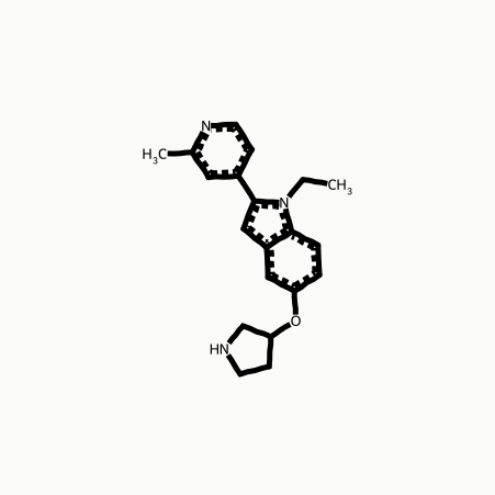 CCn1c(-c2ccnc(C)c2)cc2cc(OC3CCNC3)ccc21